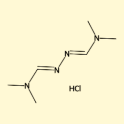 CN(C)C=NN=CN(C)C.Cl